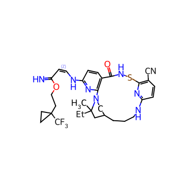 CCC1(C)CC2CCCNc3ccc(C#N)c(n3)SNC(=O)c3ccc(N/C=C\C(=N)OCCC4(C(F)(F)F)CC4)nc3N1C2